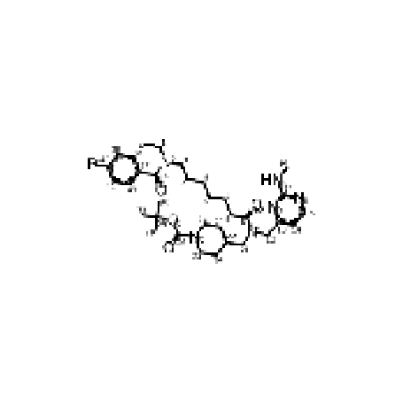 CCN(CCCCCCC(=O)N(Cc1ccnc(NC)n1)CC1CCN(C(=O)OC(C)(C)C)CC1)C(=O)c1ccc(F)cc1